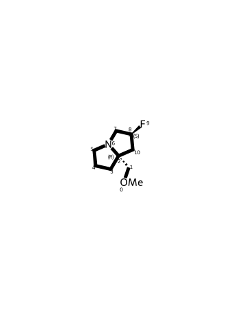 COC[C@]12CCCN1C[C@@H](F)C2